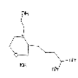 CCCC(CCC)CCCC1COCCN1CCO.[KH]